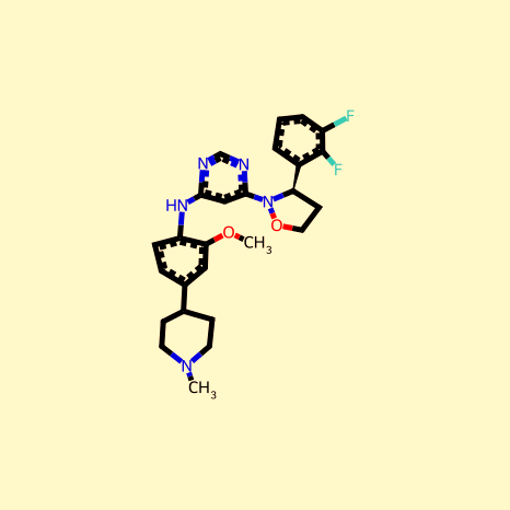 COc1cc(C2CCN(C)CC2)ccc1Nc1cc(N2OCC[C@@H]2c2cccc(F)c2F)ncn1